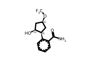 NC(=O)c1ccccc1[C@@H]1C[C@H](OC(F)(F)F)C[C@@H]1O